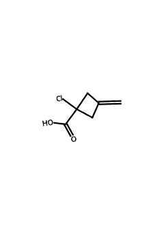 C=C1CC(Cl)(C(=O)O)C1